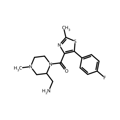 Cc1nc(C(=O)N2CCN(C)CC2CN)c(-c2ccc(F)cc2)s1